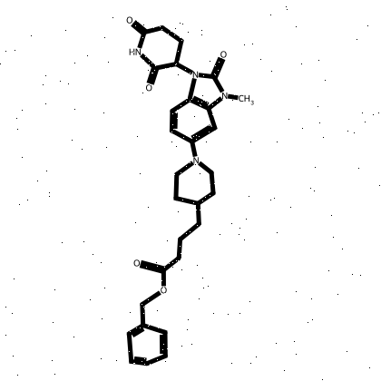 Cn1c(=O)n(C2CCC(=O)NC2=O)c2ccc(N3CCC(CCCC(=O)OCc4ccccc4)CC3)cc21